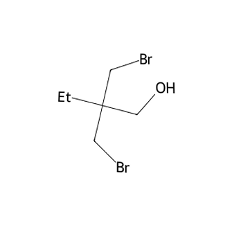 CCC(CO)(CBr)CBr